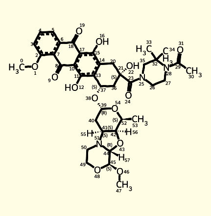 COc1cccc2c1C(=O)c1c(O)c3c(c(O)c1C2=O)C[C@@](O)(C(=O)N1CCN(C(C)=O)C(C)(C)C1)C[C@@H]3O[C@H]1C[C@H]2[C@H](O[C@@H]3[C@@H](OC)OCCN32)[C@H](C)O1